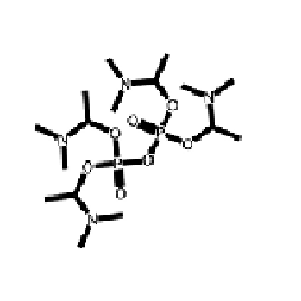 CC(OP(=O)(OC(C)N(C)C)OP(=O)(OC(C)N(C)C)OC(C)N(C)C)N(C)C